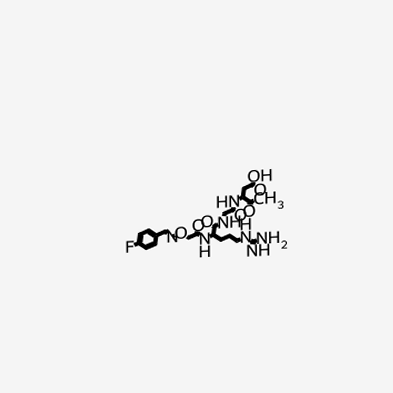 CC(=O)C(CC(=O)O)NC(=O)CNC(=O)C(CCCNC(=N)N)NC(=O)CO/N=C/c1ccc(F)cc1